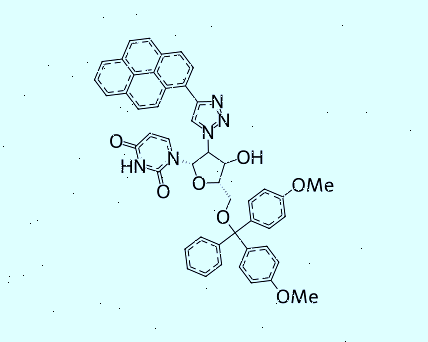 COc1ccc(C(OC[C@@H]2O[C@H](n3ccc(=O)[nH]c3=O)C(n3cc(-c4ccc5ccc6cccc7ccc4c5c67)nn3)C2O)(c2ccccc2)c2ccc(OC)cc2)cc1